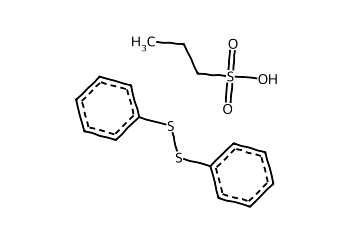 CCCS(=O)(=O)O.c1ccc(SSc2ccccc2)cc1